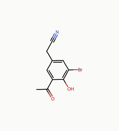 CC(=O)c1cc(CC#N)cc(Br)c1O